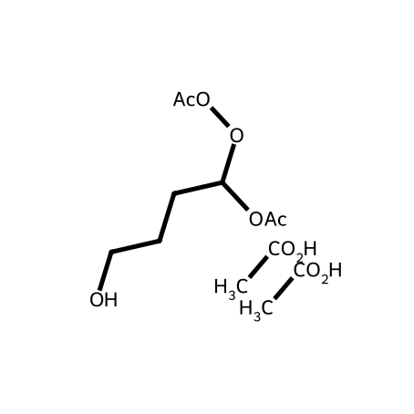 CC(=O)O.CC(=O)O.CC(=O)OOC(CCCO)OC(C)=O